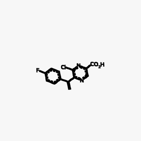 C=C(c1ccc(F)cc1)c1ncc(C(=O)O)nc1Cl